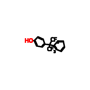 Oc1ccc(C(c2ccccc2)(C(F)(F)F)C(F)(F)F)cc1